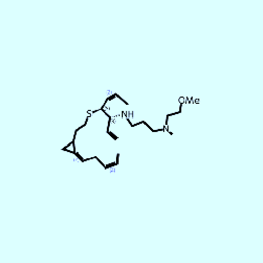 C=C[C@@H](NCCCN(C)CCOC)[C@H](/C=C\C)SCCC1C/C1=C/C/C=C\C